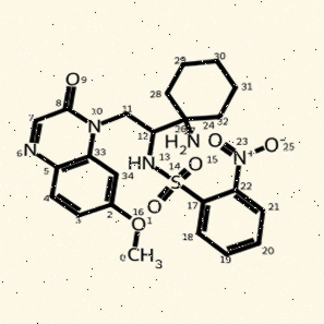 COc1ccc2ncc(=O)n(CC(NS(=O)(=O)c3ccccc3[N+](=O)[O-])C3(N)CCCCC3)c2c1